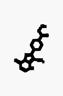 CC(C)(C)OC(=O)N1CCC(c2nn3c(=O)cc[nH]c3c2N)CC1